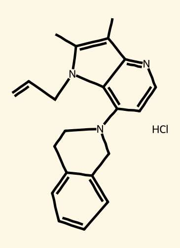 C=CCn1c(C)c(C)c2nccc(N3CCc4ccccc4C3)c21.Cl